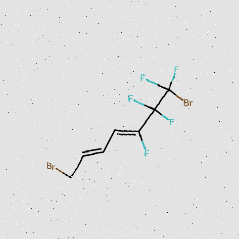 FC(=CC=CCBr)C(F)(F)C(F)(F)Br